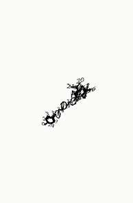 Cc1ccc(COCCOCCOc2nc(C)nc(C(C)C)n2)cc1